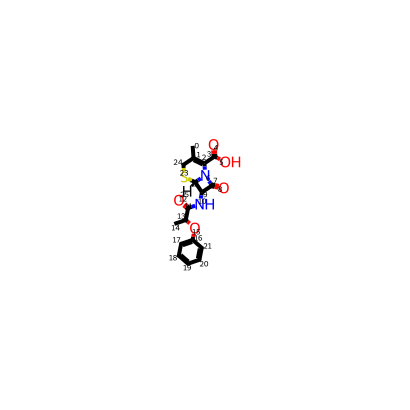 CC1=C(C(=O)O)N2C(=O)C(NC(=O)C(C)Oc3ccccc3)[C@@H]2SC1